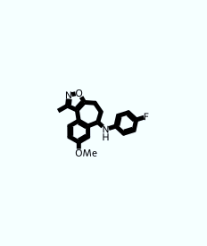 COc1ccc2c(c1)C(Nc1ccc(F)cc1)CCc1onc(C)c1-2